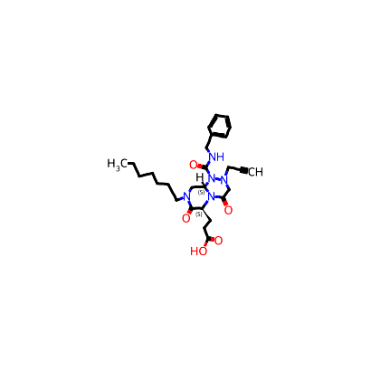 C#CCN1CC(=O)N2[C@@H](CCC(=O)O)C(=O)N(CCCCCCC)C[C@@H]2N1C(=O)NCc1ccccc1